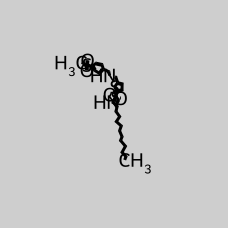 CCCCCCCCCCCCNS(=O)(=O)c1ccc(CNCc2ccc(S(C)(=O)=O)cc2)s1